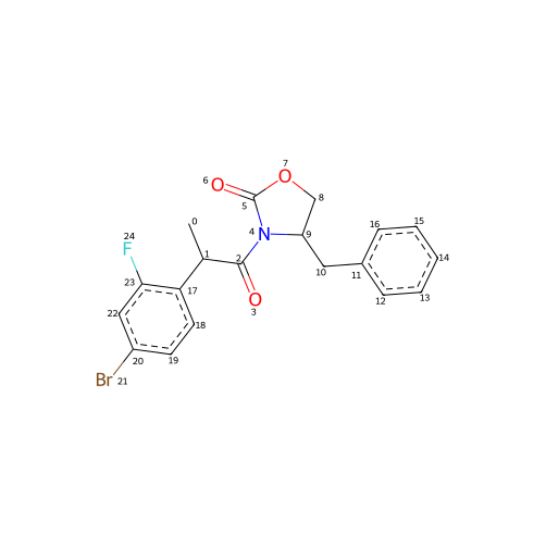 CC(C(=O)N1C(=O)OCC1Cc1ccccc1)c1ccc(Br)cc1F